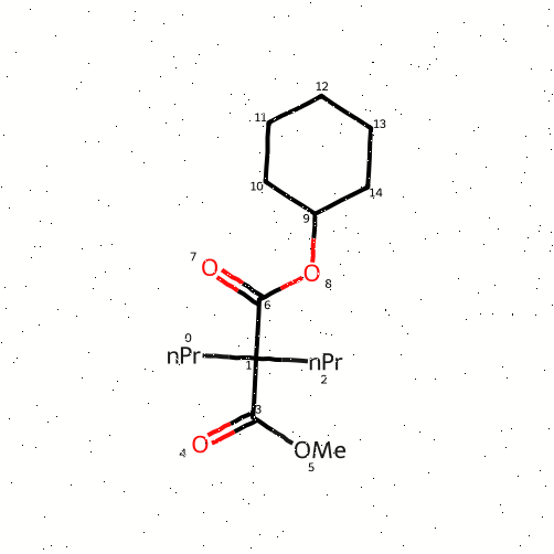 CCCC(CCC)(C(=O)OC)C(=O)OC1CCCCC1